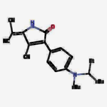 CCCCC(CC)N(CCCC)c1ccc(C2=C(C#N)C(=C(C#N)C#N)NC2=O)cc1